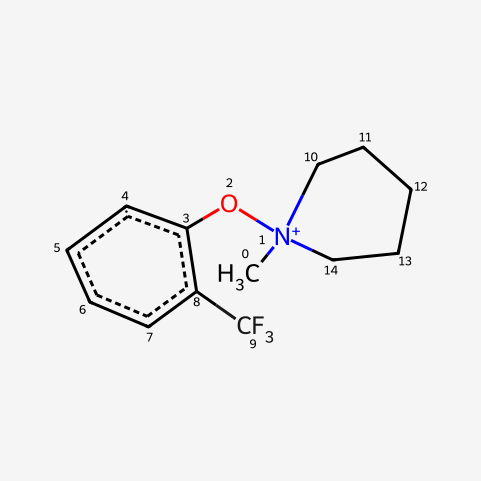 C[N+]1(Oc2[c]cccc2C(F)(F)F)CCCCC1